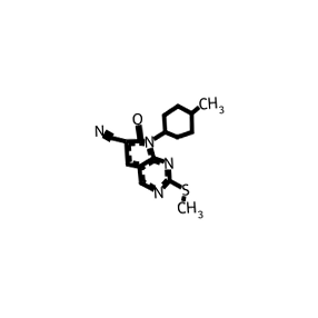 CSc1ncc2cc(C#N)c(=O)n(C3CCC(C)CC3)c2n1